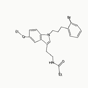 CCOc1ccc2c(c1)c(CCNC(=O)CC)cn2CCCc1ccccc1Br